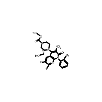 CC(C)c1ccccc1-n1c(=O)c([N+](=O)[O-])c(N2CCN(C(=O)OC(C)(C)C)C[C@@H]2CO)c2cc(F)c(Cl)nc21